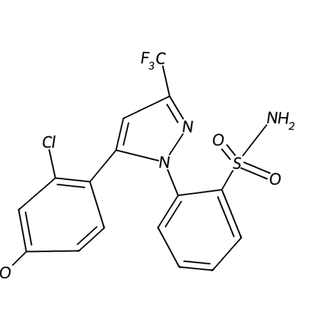 COc1ccc(-c2cc(C(F)(F)F)nn2-c2ccccc2S(N)(=O)=O)c(Cl)c1